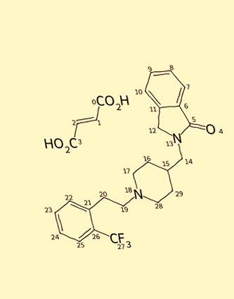 O=C(O)C=CC(=O)O.O=C1c2ccccc2CN1CC1CCN(CCc2ccccc2C(F)(F)F)CC1